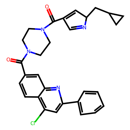 O=C(C1=CC(CC2CC2)N=C1)N1CCN(C(=O)c2ccc3c(Cl)cc(-c4ccccc4)nc3c2)CC1